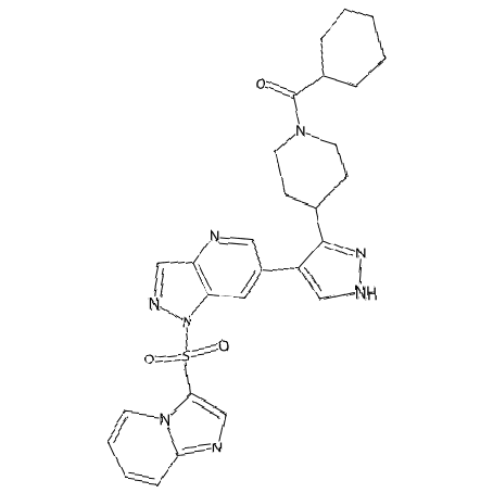 O=C(C1CCCCC1)N1CCC(c2n[nH]cc2-c2cnc3cnn(S(=O)(=O)c4cnc5ccccn45)c3c2)CC1